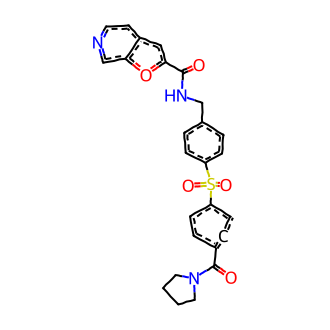 O=C(NCc1ccc(S(=O)(=O)c2ccc(C(=O)N3CCCC3)cc2)cc1)c1cc2ccncc2o1